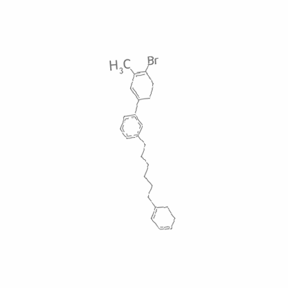 CC1=C(Br)CCC(c2cccc(CCCCCCC3=CC=CCC3)c2)=C1